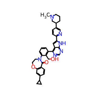 CN1CCCC(c2ccc(-c3cc4c(-c5cccc(N6CCOc7cc(C8CC8)ccc7C6=O)c5CO)ncnc4[nH]3)nc2)C1